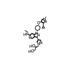 CCNc1cc2c(cn1)c(-c1cnn(C[C@@H](O)CO)c1)nn2[C@H]1CC[C@@H](Oc2cn(C)nc2C2CC2)CC1